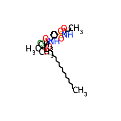 CCCCCCCCCCCCCCCCOC(Cl)(C(=O)Nc1cccc(S(=O)(=O)NC(=O)CC)c1)C(=O)C(C)(C)C